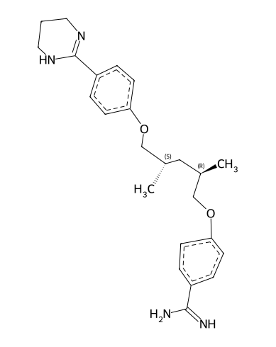 C[C@H](COc1ccc(C2=NCCCN2)cc1)C[C@@H](C)COc1ccc(C(=N)N)cc1